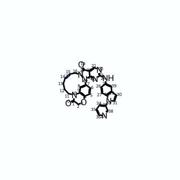 O=C1COc2ccc3cc2N1CCC/C=C\Cn1c(=O)c2cnc(Nc4ccc5c(ccn5-c5cccnc5)c4)nc2n1-3